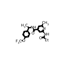 CCC(=O)Nc1cc(C(=O)NC(C)c2ccc(OC(F)(F)F)cc2)cc(C)n1